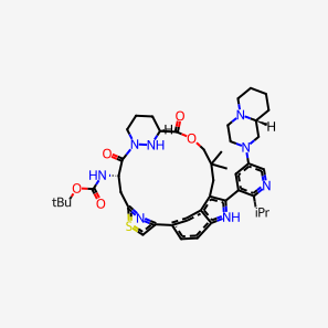 CC(C)c1ncc(N2CCN3CCCC[C@@H]3C2)cc1-c1[nH]c2ccc3cc2c1CC(C)(C)COC(=O)[C@@H]1CCCN(N1)C(=O)[C@@H](NC(=O)OC(C)(C)C)Cc1nc-3cs1